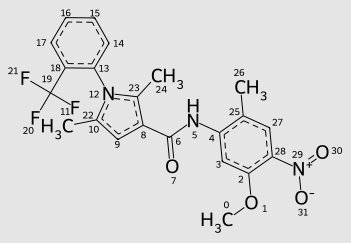 COc1cc(NC(=O)c2cc(C)n(-c3ccccc3C(F)(F)F)c2C)c(C)cc1[N+](=O)[O-]